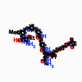 CCOc1nc(N)c2nc(O)n(Cc3ccc(CNCc4ccc(CN5CCC(NC(=O)OCc6ccc(NC(=O)[C@H](CCCNC(N)=O)NC(=O)[C@@H](NC(=O)CCOCCOCCOCCN7C(=O)C=CC7=O)C(C)C)cc6)CC5)cc4)cc3OC)c2n1